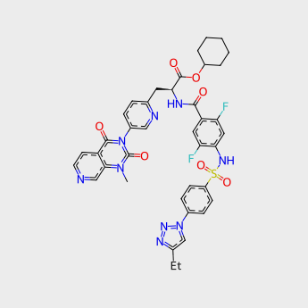 CCc1cn(-c2ccc(S(=O)(=O)Nc3cc(F)c(C(=O)N[C@@H](Cc4ccc(-n5c(=O)c6ccncc6n(C)c5=O)cn4)C(=O)OC4CCCCC4)cc3F)cc2)nn1